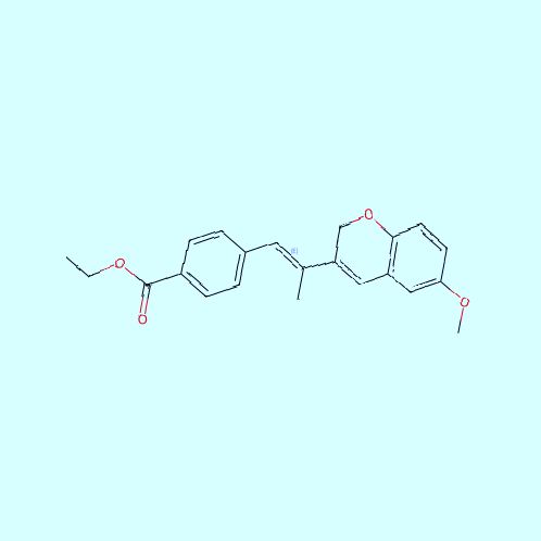 CCOC(=O)c1ccc(/C=C(\C)C2=Cc3cc(OC)ccc3OC2)cc1